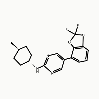 C[C@H]1CC[C@H](Nc2ncc(-c3cccc4c3OC(F)(F)O4)cn2)CC1